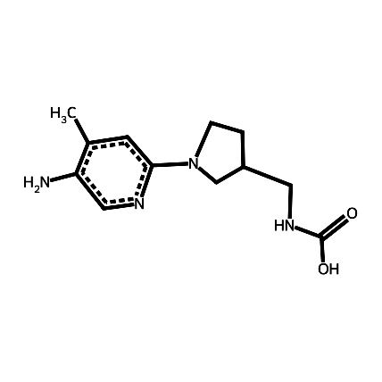 Cc1cc(N2CCC(CNC(=O)O)C2)ncc1N